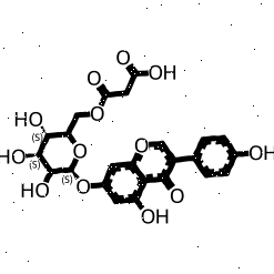 O=C(O)CC(=O)OCC1O[C@@H](Oc2cc(O)c3c(=O)c(-c4ccc(O)cc4)coc3c2)C(O)[C@@H](O)[C@@H]1O